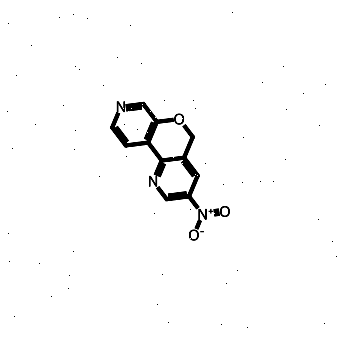 O=[N+]([O-])c1cnc2c(c1)COc1cnccc1-2